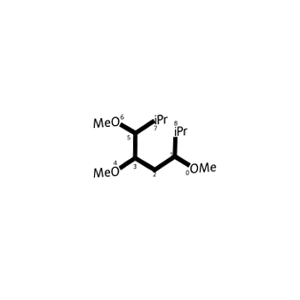 COC(CC(OC)C(OC)C(C)C)C(C)C